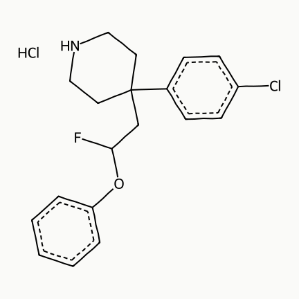 Cl.FC(CC1(c2ccc(Cl)cc2)CCNCC1)Oc1ccccc1